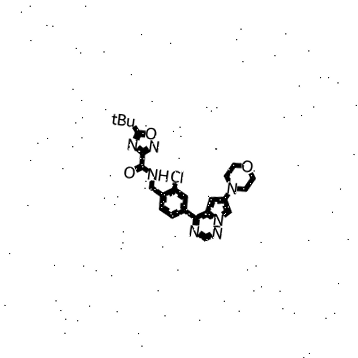 CC(C)(C)c1nc(C(=O)NCc2ccc(-c3ncnn4cc(N5CCOCC5)cc34)cc2Cl)no1